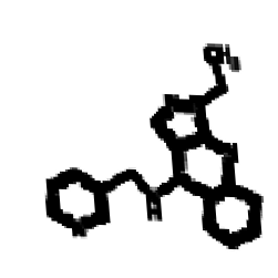 CCn1ncc2c(NCc3cccnc3)c3ccccc3nc21